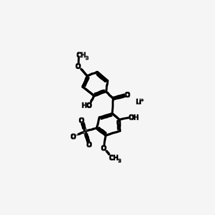 COc1ccc(C(=O)c2cc(S(=O)(=O)[O-])c(OC)cc2O)c(O)c1.[Li+]